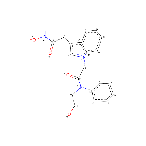 O=C(Cc1cn(CC(=O)N(CCO)c2ccccc2)c2ccccc12)NO